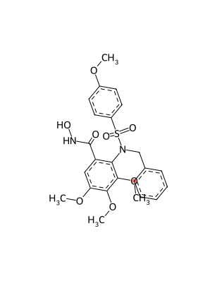 COc1ccc(S(=O)(=O)N(Cc2ccccc2)c2c(C(=O)NO)cc(OC)c(OC)c2OC)cc1